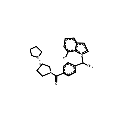 CC(c1ccc(C(=O)N2CC[C@H](N3CCCC3)C2)cc1)n1ccc2cccc(Cl)c21